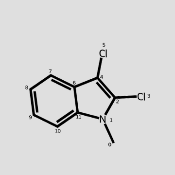 Cn1c(Cl)c(Cl)c2ccccc21